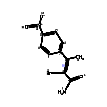 C/C(=C(/Br)C(N)=O)c1ccc([N+](=O)[O-])cc1